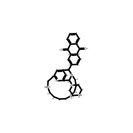 O=C1c2ccccc2C(=O)c2cc(C3c4cc5nc(c4)C(N4CCNCC4)N3CCCNCCCCNC5)ccc21